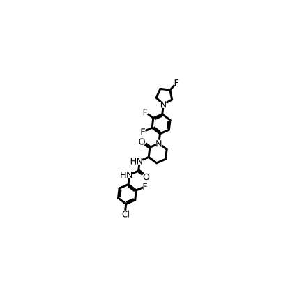 O=C(Nc1ccc(Cl)cc1F)NC1CCCN(c2ccc(N3CCC(F)C3)c(F)c2F)C1=O